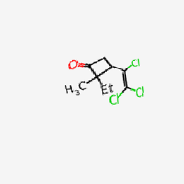 CCC1(C)C(=O)CC1C(Cl)=C(Cl)Cl